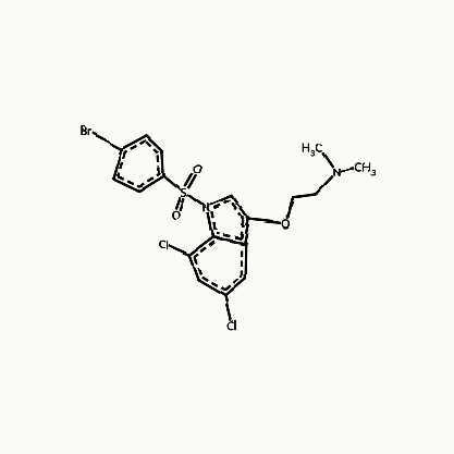 CN(C)CCOc1cn(S(=O)(=O)c2ccc(Br)cc2)c2c(Cl)cc(Cl)cc12